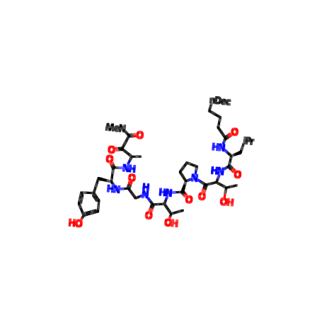 CCCCCCCCCCCCCC(=O)N[C@@H](CC(C)C)C(=O)NC(C(=O)N1CCC[C@@H]1C(=O)NC(C(=O)NCC(=O)N[C@@H](Cc1ccc(O)cc1)C(=O)NC(C)C(=O)C(=O)NC)C(C)O)C(C)O